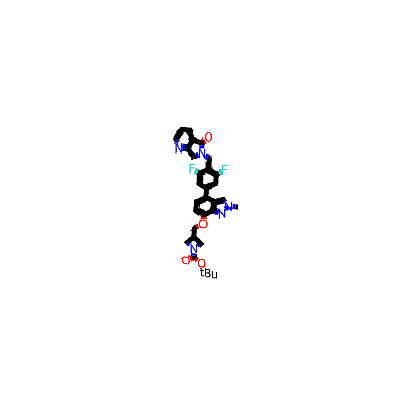 Cn1cc2c(-c3cc(F)c(CN4Cc5ncccc5C4=O)c(F)c3)ccc(OCC3CN(C(=O)OC(C)(C)C)C3)c2n1